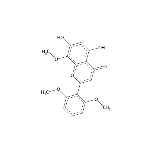 COc1cccc(OC)c1-c1cc(=O)c2c(O)cc(O)c(OC)c2o1